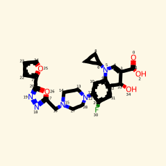 O=C(O)C1=CN(C2CC2)c2cc(N3CCN(Cc4nnc(-c5ccco5)o4)CC3)c(F)cc2C1O